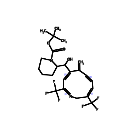 C=C1/C=C\C=C(\C(F)(F)F)C/N=C(C(F)(F)F)\C=C/1C(O)C1CCCCN1C(=O)OC(C)(C)C